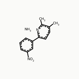 Cc1ccc(-c2cccc([N+](=O)[O-])c2)nc1C.N